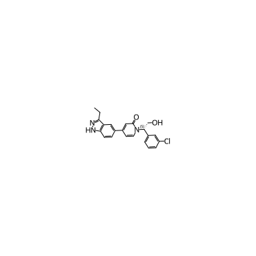 CCc1n[nH]c2ccc(-c3ccn([C@H](CO)c4cccc(Cl)c4)c(=O)c3)cc12